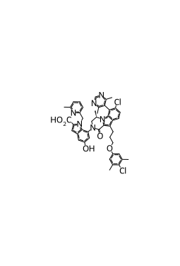 Cc1cccc(Cn2c(C(=O)O)cc3cc(O)cc(N4C[C@@H](C)n5c(c(CCCOc6cc(C)c(Cl)c(C)c6)c6ccc(Cl)c(-c7c(C)ncnc7C)c65)C4=O)c32)n1